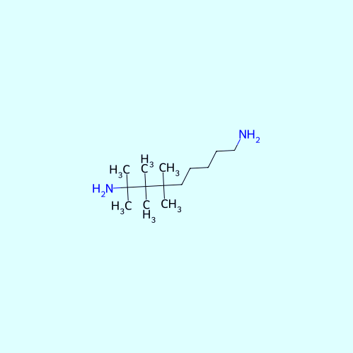 CC(C)(N)C(C)(C)C(C)(C)CCCCCN